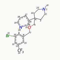 CN1CCC(COCc2cc(Br)cc(C(F)(F)F)c2)(c2cccnc2)CC1